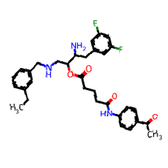 CCc1cccc(CNCC(OC(=O)CCCC(=O)Nc2ccc(C(C)=O)cc2)C(N)Cc2cc(F)cc(F)c2)c1